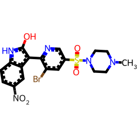 CN1CCN(S(=O)(=O)c2cnc(-c3c(O)[nH]c4ccc([N+](=O)[O-])cc34)c(Br)c2)CC1